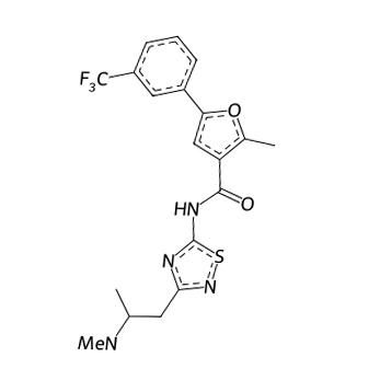 CNC(C)Cc1nsc(NC(=O)c2cc(-c3cccc(C(F)(F)F)c3)oc2C)n1